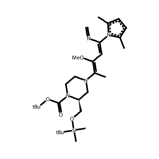 C=N/C(=C\C(OC)=C(/C)N1CCN(C(=O)OC(C)(C)C)[C@H](CO[Si](C)(C)C(C)(C)C)C1)n1c(C)ccc1C